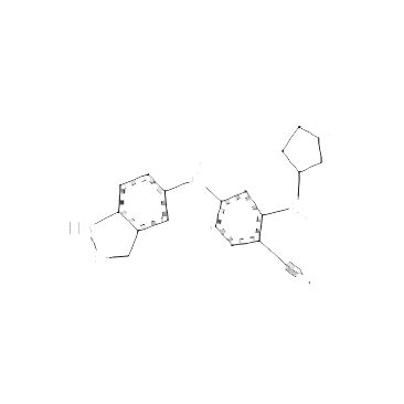 N#Cc1ccc(Oc2ccc3c(c2)COB3)cc1OC1CCCC1